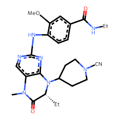 CCNC(=O)c1ccc(Nc2ncc3c(n2)N(C2CCN(C#N)CC2)[C@H](CC)C(=O)N3C)c(OC)c1